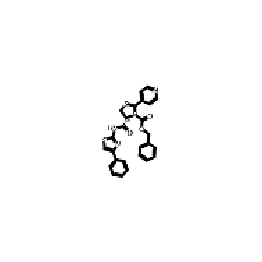 O=C(Nc1nc(-c2ccccc2)cs1)[C@@H]1CSC(c2ccncc2)N1C(=O)OCc1ccccc1